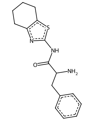 NC(Cc1ccccc1)C(=O)Nc1nc2c(s1)CCCC2